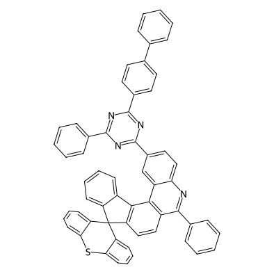 c1ccc(-c2ccc(-c3nc(-c4ccccc4)nc(-c4ccc5nc(-c6ccccc6)c6ccc7c(c6c5c4)-c4ccccc4C74c5ccccc5Sc5ccccc54)n3)cc2)cc1